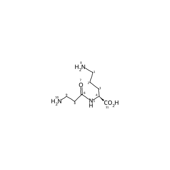 NCCC[C@H](NC(=O)CCN)C(=O)O